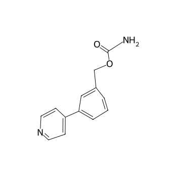 NC(=O)OCc1cccc(-c2ccncc2)c1